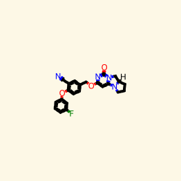 N#Cc1cc(COc2cc3n(c(=O)n2)C[C@@H]2CCCN32)ccc1Oc1cccc(F)c1